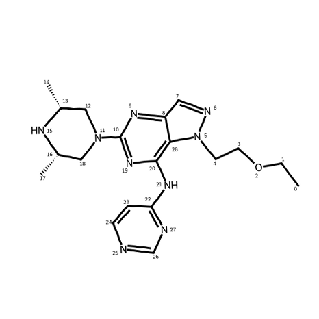 CCOCCn1ncc2nc(N3C[C@@H](C)N[C@@H](C)C3)nc(Nc3ccncn3)c21